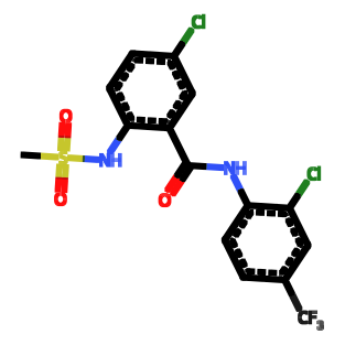 CS(=O)(=O)Nc1ccc(Cl)cc1C(=O)Nc1ccc(C(F)(F)F)cc1Cl